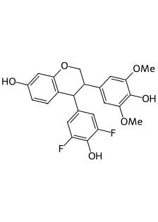 COc1cc(C2COc3cc(O)ccc3C2c2cc(F)c(O)c(F)c2)cc(OC)c1O